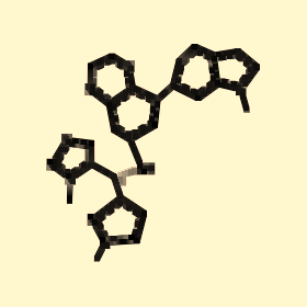 Cn1ccc([C@@H](Nc2cc(-c3ccc4ccn(C)c4c3)c3nccnc3c2)c2cnnn2C)n1